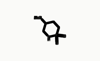 COC1CCS(=O)(=O)NC1